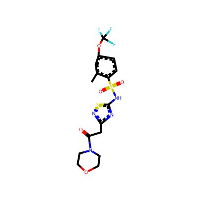 Cc1cc(OC(F)(F)F)ccc1S(=O)(=O)Nc1nc(CC(=O)N2CCOCC2)ns1